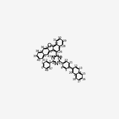 c1ccc(-c2nc(-c3ccc(-c4ccc5ccccc5c4)cc3)nc(-c3cc4ccccc4c4oc5cc6ccccc6cc5c34)n2)cc1